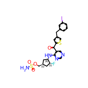 NS(=O)(=O)OC[C@@H]1C[C@H](F)[C@H](Nc2ncncc2C(=O)c2cc(Cc3cccc(I)c3)cs2)C1